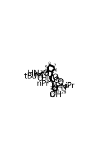 CCC[C@@H](NC(=O)c1ccccc1OCC(=O)NC(C)(C)C)C(=O)N1C[C@@H](O)C[C@@H]1C(=O)N(C)C(C)C